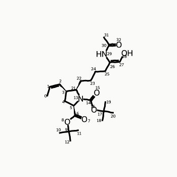 C/C=C\[C@@H]1C[C@H](C(=O)OC(C)(C)C)N(C(=O)OC(C)(C)C)[C@@H]1CCCC/C(=C/O)NC(C)=O